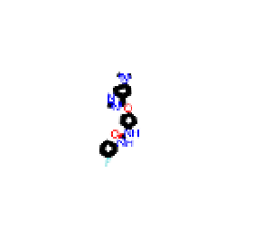 CN(C)c1ccc2c(Oc3ccc(NC(=O)Nc4cccc(F)c4)cc3)ncnc2c1